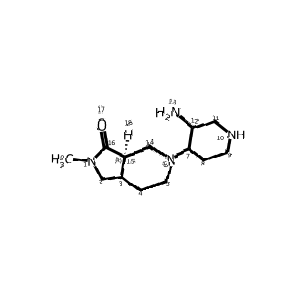 CN1CC2CCN(C3CCNCC3N)C[C@@H]2C1=O